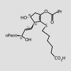 CCCCC[C@H](O)/C=C/[C@@H]1C(SCCCCCC(=O)O)=C(OC(=O)C(C)C)C[C@H]1O